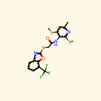 CSc1cc(C)nc(SC)c1NC(=O)CSc1nc2cccc(C(F)(F)F)c2o1